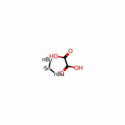 CCC[CH2][Sn][CH2]CCC.O=C(O)C(=O)O